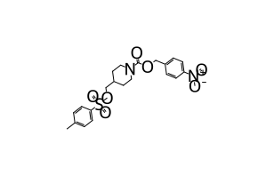 Cc1ccc(S(=O)(=O)OCC2CCN(C(=O)OCc3ccc([N+](=O)[O-])cc3)CC2)cc1